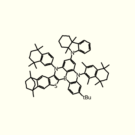 Cc1cc2c(c(C)c1N1c3cc(C(C)(C)C)ccc3B3c4sc5cc6c(cc5c4N(c4ccc5c(c4)C(C)(C)CCC5(C)C)c4cc(N5c7ccccc7C7(C)CCCCC57C)cc1c43)C1(C)CCC6(C)CC1)C(C)(C)CCC2(C)C